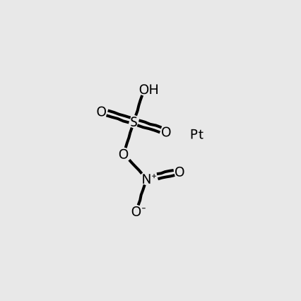 O=[N+]([O-])OS(=O)(=O)O.[Pt]